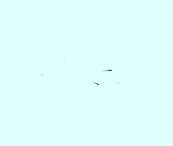 COC(=O)[C@@H]1[C@@H](c2ccccc2)[C@]2(c3ccc(OC)cc3)Oc3cc(OC)cc(OC)c3[C@@]23N2CCCC2=N[C@@]13O